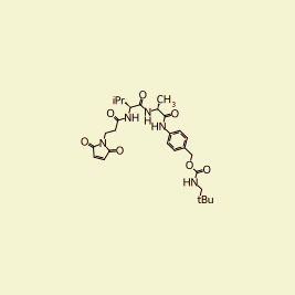 CC(C)[C@H](NC(=O)CCN1C(=O)C=CC1=O)C(=O)N[C@@H](C)C(=O)Nc1ccc(COC(=O)NCC(C)(C)C)cc1